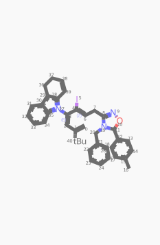 C=C(/C=C(\C(I)=C\CC1=NOC(c2ccc(C)cc2)N1Cc1ccccc1)n1c2c(c3ccccc31)CCC=C2)C(C)(C)C